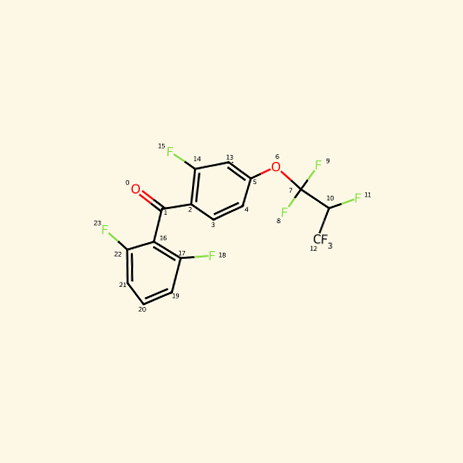 O=C(c1ccc(OC(F)(F)C(F)C(F)(F)F)[c]c1F)c1c(F)cccc1F